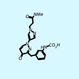 CNC(=O)CCn1cc(-n2ccc(=O)c(Cc3cccc(NC(=O)O)c3)n2)cn1